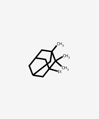 CCC12CC3CC(CC(C)(C3)C1(C)C)C2